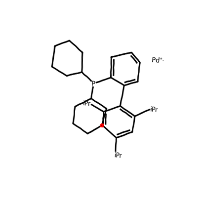 CC(C)c1cc(C(C)C)c(-c2ccccc2P(C2CCCCC2)C2CCCCC2)c(C(C)C)c1.[Pd+]